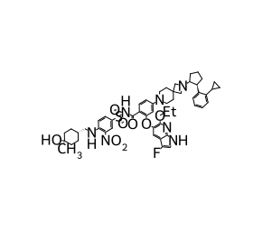 CCOc1nc2[nH]cc(F)c2cc1Oc1cc(N2CCC3(CC2)CN([C@H]2CCC[C@H]2c2ccccc2C2CC2)C3)ccc1C(=O)NS(=O)(=O)c1ccc(NC[C@H]2CC[C@](C)(O)CC2)c([N+](=O)[O-])c1